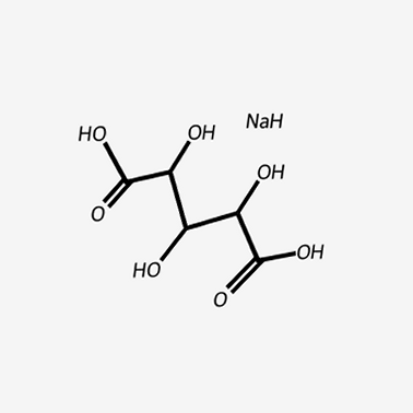 O=C(O)C(O)C(O)C(O)C(=O)O.[NaH]